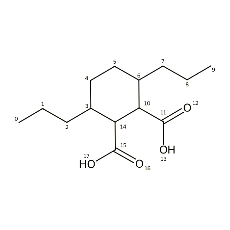 CCCC1CCC(CCC)C(C(=O)O)C1C(=O)O